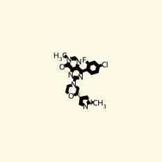 Cn1cc([C@H]2CN(c3nc(-c4ccc(Cl)cc4F)c4ncn(C)c(=O)c4n3)CCO2)cn1